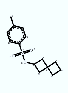 Cc1ccc(S(=O)(=O)OC2CC3(CCC3)C2)cc1